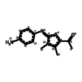 CC(=O)c1sc(=Nc2ccc(N)cc2)n(C)c1C